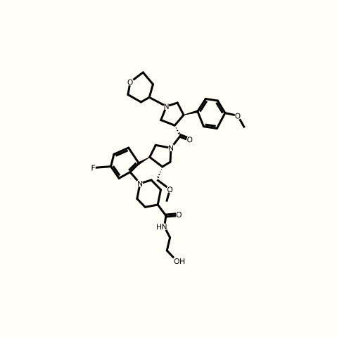 COC[C@H]1CN(C(=O)[C@@H]2CN(C3CCOCC3)C[C@H]2c2ccc(OC)cc2)C[C@@H]1c1ccc(F)cc1N1CCC(C(=O)NCCO)CC1